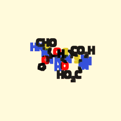 O=CNc1nc(C(=NOC2C=CCC2)C(=O)NC2C(=O)N3CC(CSc4nnnn4CCC(=O)O)(C(=O)O)CS[C@H]23)cs1